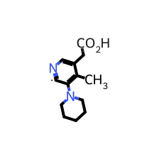 Cc1c(N2CCCCC2)[c]ncc1CC(=O)O